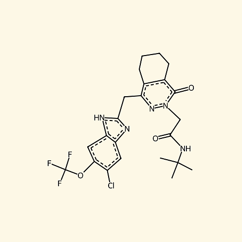 CC(C)(C)NC(=O)Cn1nc(Cc2nc3cc(Cl)c(OC(F)(F)F)cc3[nH]2)c2c(c1=O)CCCC2